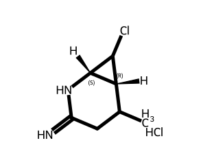 CC1CC(=N)N[C@@H]2C(Cl)[C@H]12.Cl